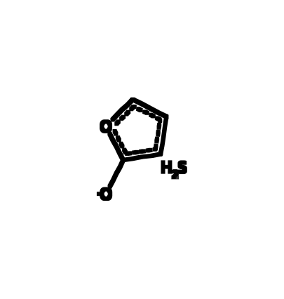 S.[O]c1ccco1